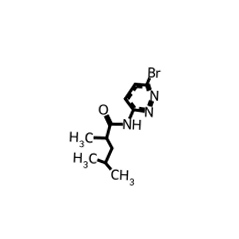 CC(C)CC(C)C(=O)Nc1ccc(Br)nn1